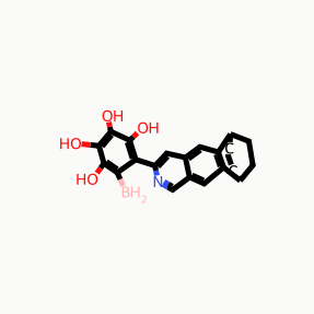 Bc1c(O)c(O)c(O)c(O)c1-c1cc2cc3c(cc2cn1)C1CCCC3CC1